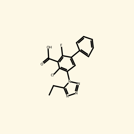 CCc1nnnn1-c1cc(-c2ccccc2)c(F)c(C(=O)O)c1Cl